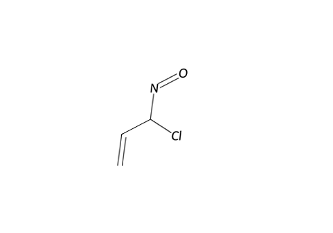 C=CC(Cl)N=O